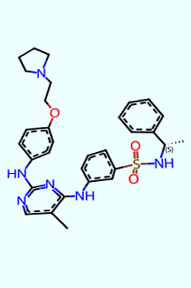 Cc1cnc(Nc2ccc(OCCN3CCCC3)cc2)nc1Nc1cccc(S(=O)(=O)N[C@@H](C)c2ccccc2)c1